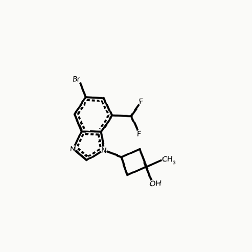 CC1(O)CC(n2cnc3cc(Br)cc(C(F)F)c32)C1